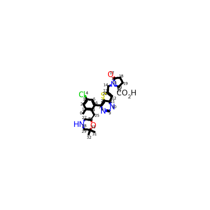 Cc1cc(Cl)cc(-c2ncnc3cc(CN4C(=O)CC[C@@H]4C(=O)O)sc23)c1C[C@@H]1CNCC(C)(C)O1